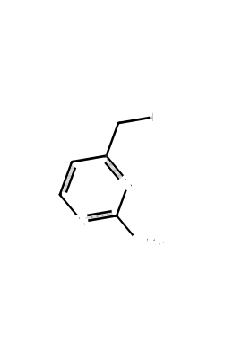 COc1nccc(CI)n1